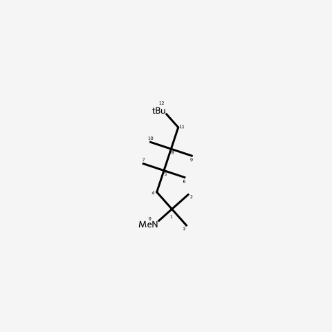 CNC(C)(C)CC(C)(C)C(C)(C)CC(C)(C)C